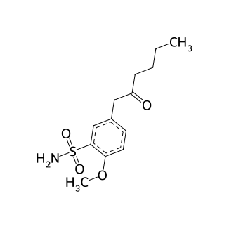 CCCCC(=O)Cc1ccc(OC)c(S(N)(=O)=O)c1